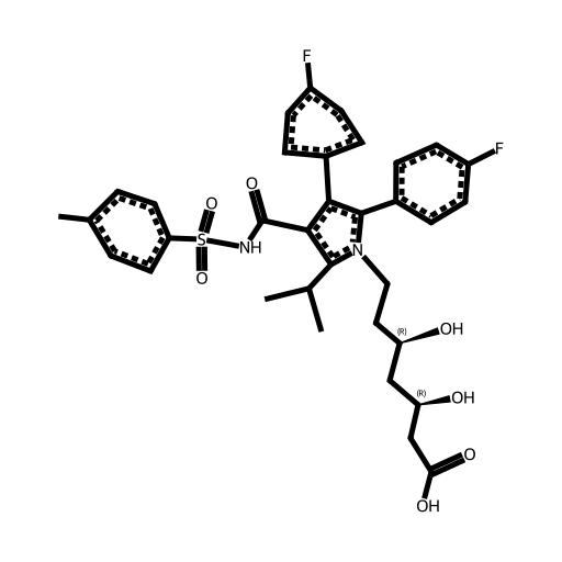 Cc1ccc(S(=O)(=O)NC(=O)c2c(-c3ccc(F)cc3)c(-c3ccc(F)cc3)n(CC[C@@H](O)C[C@@H](O)CC(=O)O)c2C(C)C)cc1